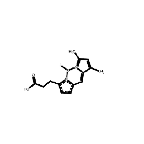 CC1=CC(C)=[N+]2B(F)n3c(ccc3CCC(=O)O)C=C12